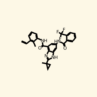 C=Cc1cccc(NC(=O)c2cc(NC(=O)c3ccccc3C(F)(F)F)cc3[nH]c(C4(C)CC4)nc23)c1C